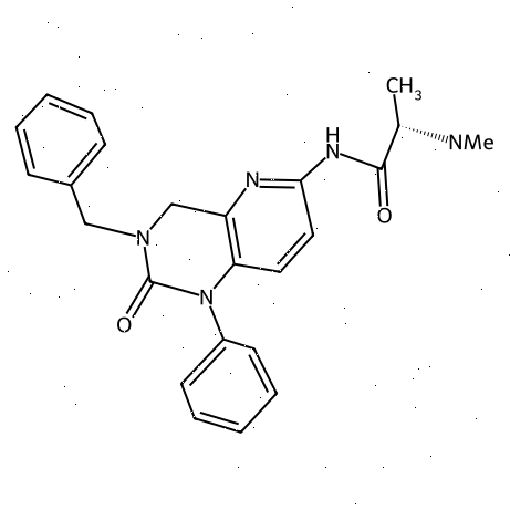 CN[C@@H](C)C(=O)Nc1ccc2c(n1)CN(Cc1ccccc1)C(=O)N2c1ccccc1